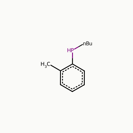 CCCCPc1ccccc1C